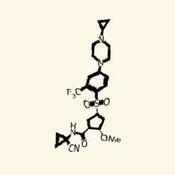 CO[C@H]1C[C@@H](S(=O)(=O)c2ccc(N3CCN(C4CC4)CC3)cc2C(F)(F)F)C[C@@H]1C(=O)NC1(C#N)CC1